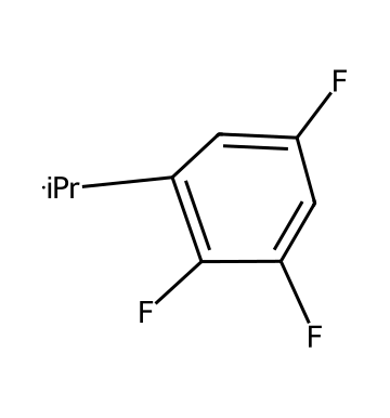 C[C](C)c1cc(F)cc(F)c1F